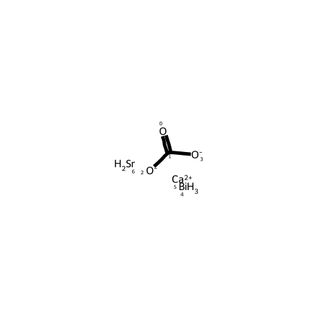 O=C([O-])[O-].[BiH3].[Ca+2].[SrH2]